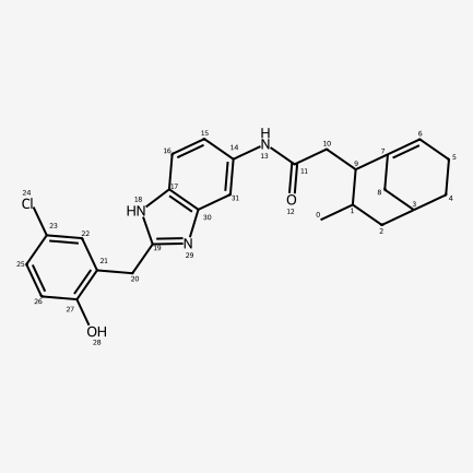 CC1CC2CCC=C(C2)C1CC(=O)Nc1ccc2[nH]c(Cc3cc(Cl)ccc3O)nc2c1